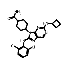 NC(=O)C1CCC(n2c(Nc3c(Cl)cccc3Cl)nc3cnc(NC4CCC4)nc32)CC1